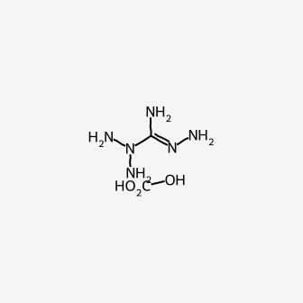 N/N=C(\N)N(N)N.O=C(O)O